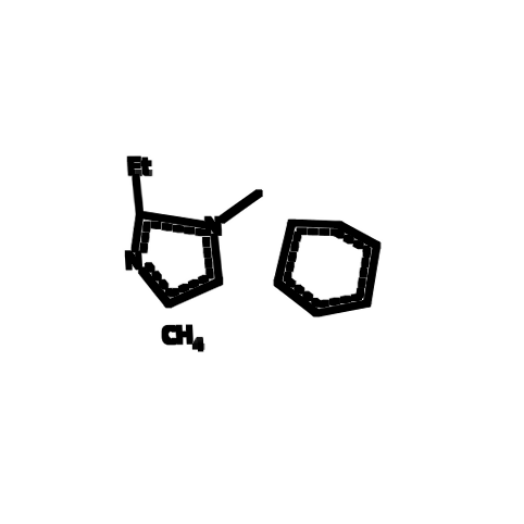 C.CCc1nccn1C.c1ccccc1